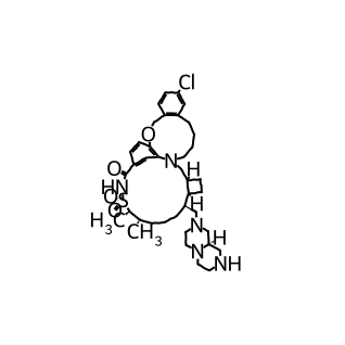 C[C@@H]1[C@@H](C)CCC[C@H](CN2CCN3CCNC[C@@H]3C2)[C@@H]2CC[C@H]2CN2CCCCc3cc(Cl)ccc3COc3ccc(cc32)C(=O)NS1(=O)=O